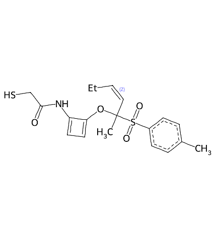 CC/C=C\C(C)(OC1=CC=C1NC(=O)CS)S(=O)(=O)c1ccc(C)cc1